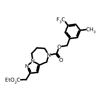 CCOC(=O)Cc1cc2n(n1)CCCN(C(=O)OCc1cc(C)cc(C(F)(F)F)c1)C2